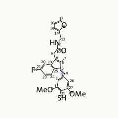 COc1cc(/C=C2/C(C)=C(CC(=O)NCc3ccco3)c3cc(F)ccc32)cc(OC)c1S